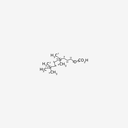 C[Si](C)(C)CC[Si](C)(C)CCCOC(=O)O